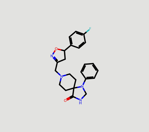 O=C1NCN(c2ccccc2)C12CCN(CC1=NOC(c3ccc(F)cc3)C1)CC2